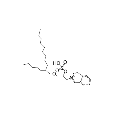 CCCCCCCCCC(CCCCC)COCC(C[N+]1=Cc2ccccc2CC1)OS(=O)(=O)O